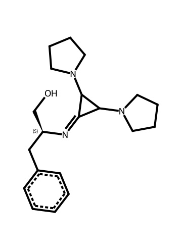 OC[C@H](Cc1ccccc1)N=C1C(N2CCCC2)C1N1CCCC1